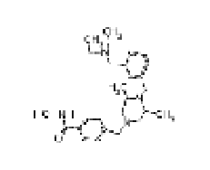 CCN(CC)Cc1cccc(CN2[C@H](C)CN(Cc3ccc(C(=O)NO)cc3)C[C@@H]2C)c1